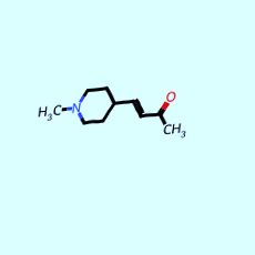 CC(=O)/C=C/C1CCN(C)CC1